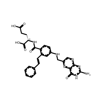 Nc1nc2ncc(CNc3ccc(C(=O)N[C@@H](CCC(=O)O)C(=O)O)c(C=Cc4ccccc4)c3)nc2c(=O)[nH]1